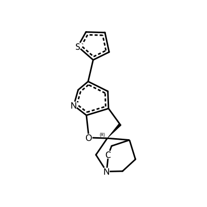 c1csc(-c2cnc3c(c2)C[C@@]2(CN4CCC2CC4)O3)c1